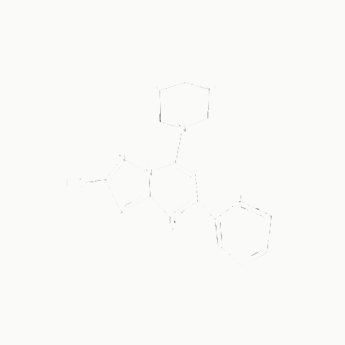 Cc1cc2nc(-c3ccccc3)cc(N3CCCCC3)n2n1